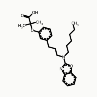 CCCCCCN(CCCc1cccc(OC(C)(C)C(=O)O)c1)c1nc2ccccc2o1